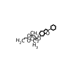 C=CC(=O)OC(C)(C)CC(C)Oc1ccc2cc(-c3ccccc3)oc2c1